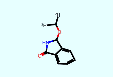 [2H]C([2H])OC1NC(=O)c2ccccc21